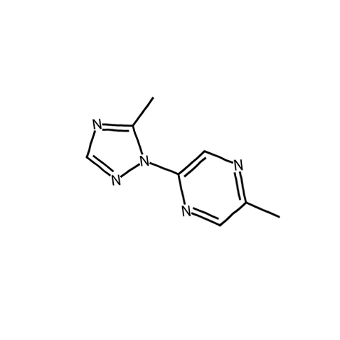 Cc1cnc(-n2ncnc2C)cn1